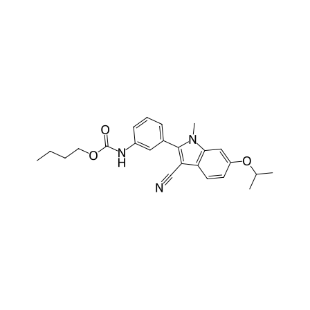 CCCCOC(=O)Nc1cccc(-c2c(C#N)c3ccc(OC(C)C)cc3n2C)c1